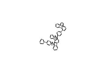 c1ccc(-c2ccc(-n3c4ccccc4c4ccc5c(c6ccccc6n5-c5ccc(-c6cccc7oc8ccccc8c67)cc5)c43)cc2)cc1